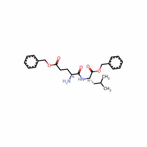 CC(C)C[C@H](NC(=O)[C@@H](N)CCC(=O)OCc1ccccc1)C(=O)OCc1ccccc1